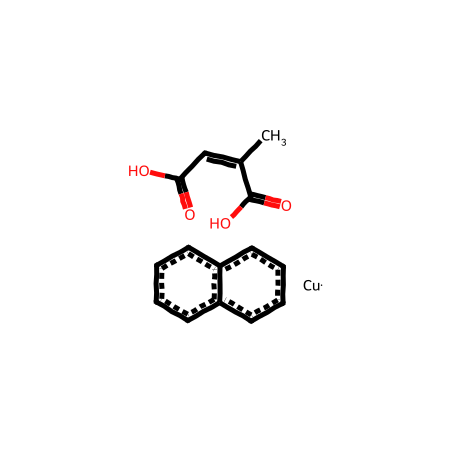 CC(=CC(=O)O)C(=O)O.[Cu].c1ccc2ccccc2c1